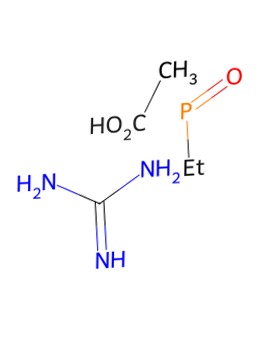 CC(=O)O.CCP=O.N=C(N)N